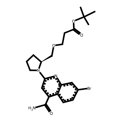 CC(C)(C)OC(=O)CCOC[C@@H]1CCCN1c1cc(C(N)=O)c2ccc(Br)cc2n1